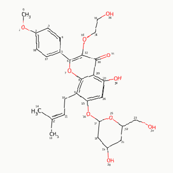 COc1ccc(-c2oc3c(CC=C(C)C)c(OC4CC(O)CC(CO)O4)cc(O)c3c(=O)c2OCCO)cc1